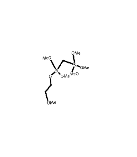 COCCO[Si](C[Si](OC)(OC)OC)(OC)OC